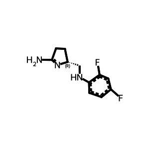 NC1=N[C@@H](CNc2ccc(F)cc2F)CC1